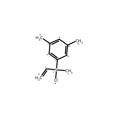 C=C[Si](C)(Cl)c1cc(C)cc(C)c1